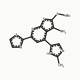 CCCCSc1sc2nc(-c3nccs3)cc(-c3cnc(C)[nH]3)c2c1N